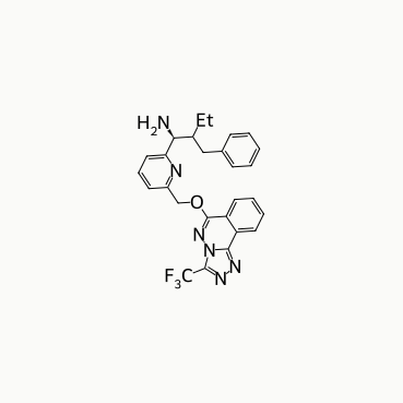 CCC(Cc1ccccc1)[C@H](N)c1cccc(COc2nn3c(C(F)(F)F)nnc3c3ccccc23)n1